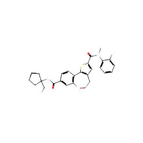 CN(C(=O)c1cc2c(s1)-c1ccc(C(=O)NC3(CO)CCCC3)cc1OCC2)c1ccccc1Cl